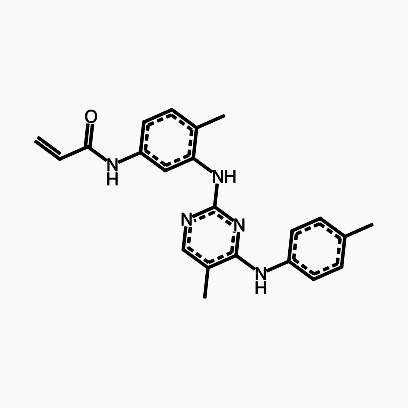 C=CC(=O)Nc1ccc(C)c(Nc2ncc(C)c(Nc3ccc(C)cc3)n2)c1